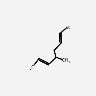 [CH2]/C=C/C(C)C/C=C/CC